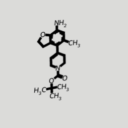 Cc1cc(N)c2c(c1C1=CCN(C(=O)OC(C)(C)C)CC1)CCO2